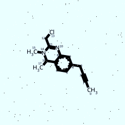 CC#CCc1ccc2c(c1)N=C(CCl)N(C)C2C